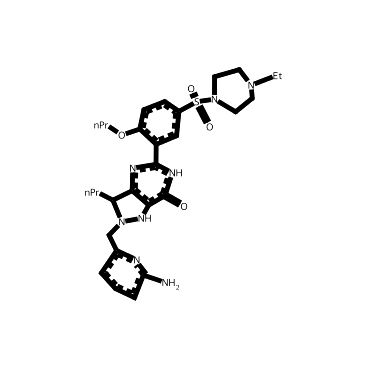 CCCOc1ccc(S(=O)(=O)N2CCN(CC)CC2)cc1-c1nc2c(c(=O)[nH]1)NN(Cc1cccc(N)n1)C2CCC